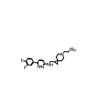 CC(C)(C)CCN1CCC2(CC1)CC2CNc1ccc(-c2ccc(F)c(F)c2)nn1